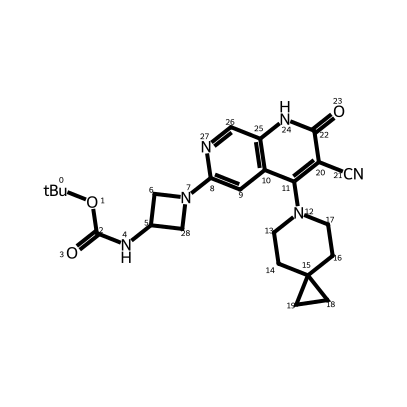 CC(C)(C)OC(=O)NC1CN(c2cc3c(N4CCC5(CC4)CC5)c(C#N)c(=O)[nH]c3cn2)C1